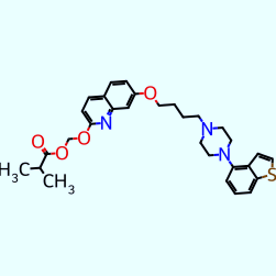 CC(C)C(=O)OCOc1ccc2ccc(OCCCCN3CCN(c4cccc5sccc45)CC3)cc2n1